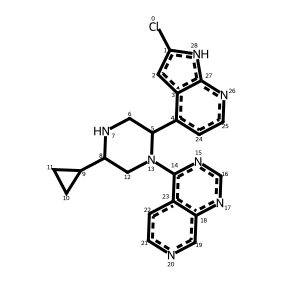 Clc1cc2c(C3CNC(C4CC4)CN3c3ncnc4cnccc34)ccnc2[nH]1